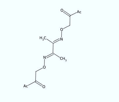 CC(=O)C(=O)CO/N=C(C)/C(C)=N/OCC(=O)C(C)=O